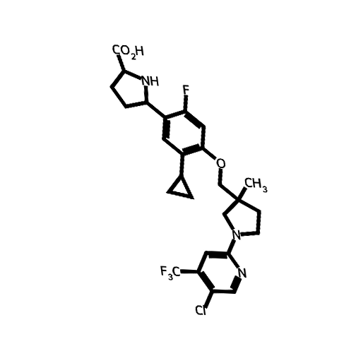 CC1(COc2cc(F)c(C3CCC(C(=O)O)N3)cc2C2CC2)CCN(c2cc(C(F)(F)F)c(Cl)cn2)C1